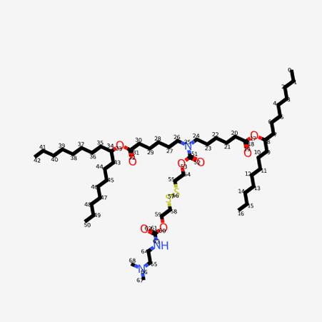 CCCCCCCCC(CCCCCCCC)OC(=O)CCCCCN(CCCCCC(=O)OC(CCCCCCCC)CCCCCCCC)C(=O)OCCSSCCOC(=O)NCCN(C)C